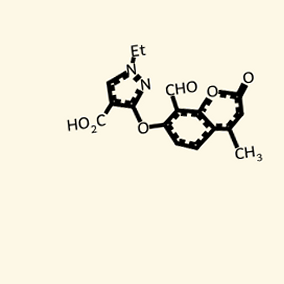 CCn1cc(C(=O)O)c(Oc2ccc3c(C)cc(=O)oc3c2C=O)n1